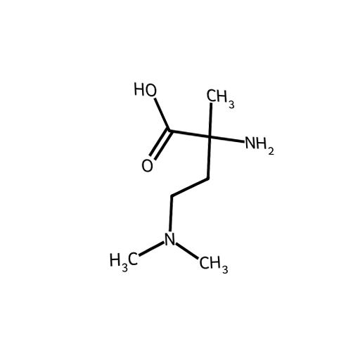 CN(C)CCC(C)(N)C(=O)O